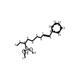 CCC(CCCCC=Cc1ccccc1)[SiH](OC)OC